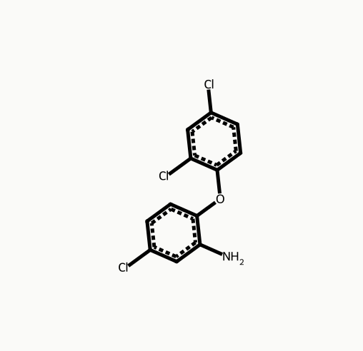 Nc1cc(Cl)ccc1Oc1ccc(Cl)cc1Cl